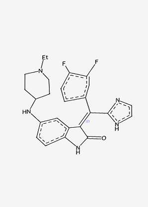 CCN1CCC(Nc2ccc3c(c2)/C(=C(\c2ccc(F)c(F)c2)c2ncc[nH]2)C(=O)N3)CC1